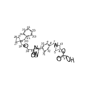 O=C(O)OC1CN(Cc2ccc(-c3noc(COCC4(Cc5ccccc5)CCC4)n3)cc2)C1